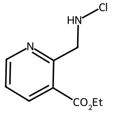 CCOC(=O)c1cccnc1CNCl